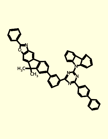 CC1(C)c2cc(-c3cccc(-c4nc(-c5ccc(-c6ccccc6)cc5)nc(-n5c6ccccc6c6ccccc65)n4)c3)ccc2-c2cc3nc(-c4ccccc4)oc3cc21